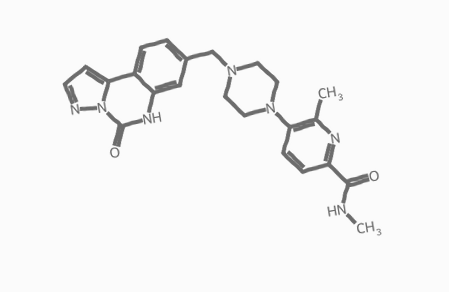 CNC(=O)c1ccc(N2CCN(Cc3ccc4c(c3)[nH]c(=O)n3nccc43)CC2)c(C)n1